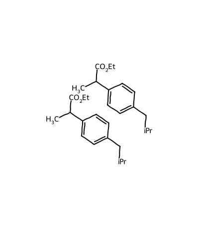 CCOC(=O)C(C)c1ccc(CC(C)C)cc1.CCOC(=O)C(C)c1ccc(CC(C)C)cc1